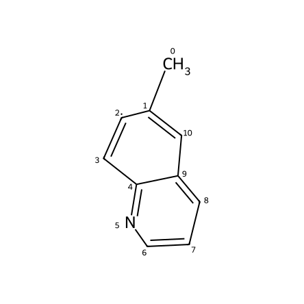 Cc1[c]cc2ncccc2c1